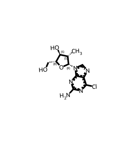 C[C@H]1[C@H](O)[C@@H](CO)O[C@H]1n1cnc2c(Cl)nc(N)nc21